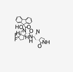 N#C[C@H](C[C@@H]1CCNC1=O)NC(=O)[C@@H]1[C@@H]2CCC(F)(F)[C@@H]2CN1C(=O)C1(O)c2ccccc2-c2ccccc21